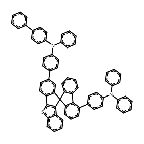 c1ccc(-c2ccc(N(c3ccccc3)c3ccc(-c4ccc5c(c4)C4(c6ccccc6-c6c(-c7ccc(N(c8ccccc8)c8ccccc8)cc7)cccc64)c4c-5sc5ccccc45)cc3)cc2)cc1